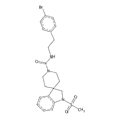 CS(=O)(=O)N1CC2(CCN(C(=O)NCCc3ccc(Br)cc3)CC2)c2ccccc21